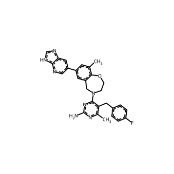 Cc1cc(-c2cnc3[nH]cnc3c2)cc2c1OCCN(c1nc(N)nc(C)c1Cc1ccc(F)cc1)C2